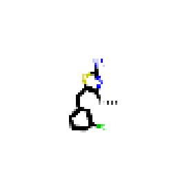 CCOC(=O)c1nc(N)sc1Cc1cccc(Cl)c1